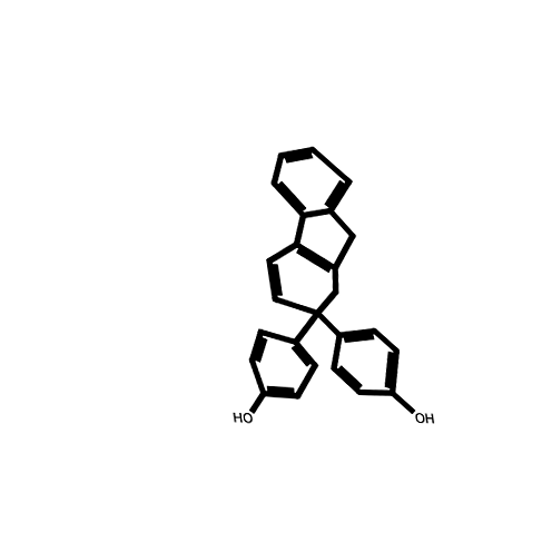 Oc1ccc(C2(c3ccc(O)cc3)C=CC3=C(Cc4ccccc43)C2)cc1